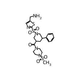 CS(=O)(=O)N1CCN(C(=O)C2CC(c3ccccc3)CN(S(=O)(=O)c3ncc(CN)s3)C2)CC1